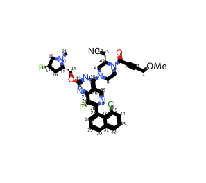 COCC#CC(=O)N1CCN(c2nc(OC[C@@H]3C[C@@H](F)CN3C)nc3c(F)c(-c4cccc5cccc(Cl)c45)ncc23)C[C@@H]1CC#N